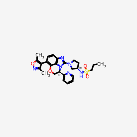 CCCS(=O)(=O)N[C@@H]1CCN(c2nc3ccc(-c4c(C)noc4C)c4c3n2[C@@H](c2ccccn2)CO4)C1